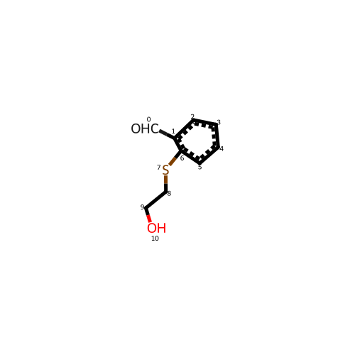 O=Cc1ccccc1SCCO